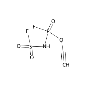 C#COP(=O)(F)NS(=O)(=O)F